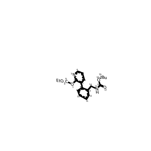 CCOC(=O)Oc1ncccc1-c1ccccc1CNC(=O)OC(C)(C)C